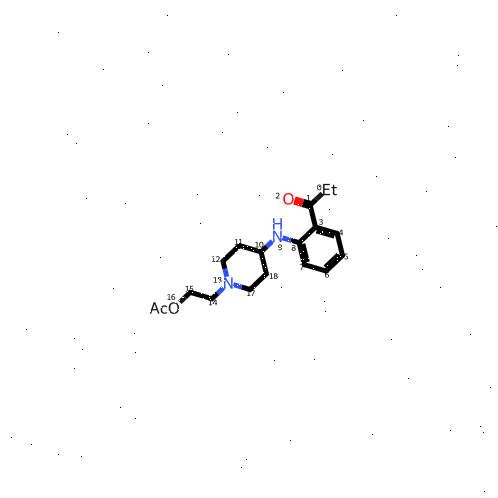 CCC(=O)c1ccccc1NC1CCN(CCOC(C)=O)CC1